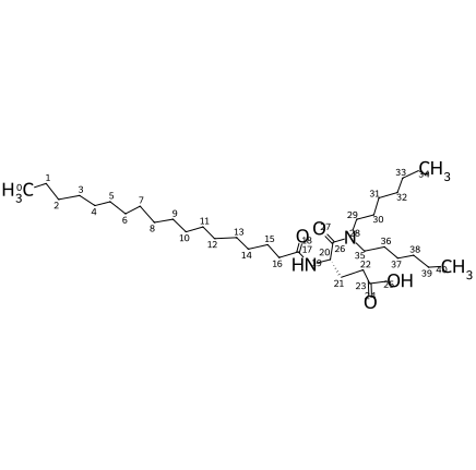 CCCCCCCCCCCCCCCCCC(=O)N[C@@H](CCC(=O)O)C(=O)N(CCCCCC)CCCCCC